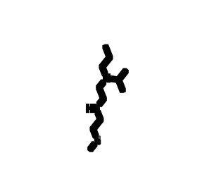 CCCN(CCNCCSC)C(C)C